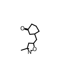 CC1=NOC(CC2CCCC(=O)C2)C1